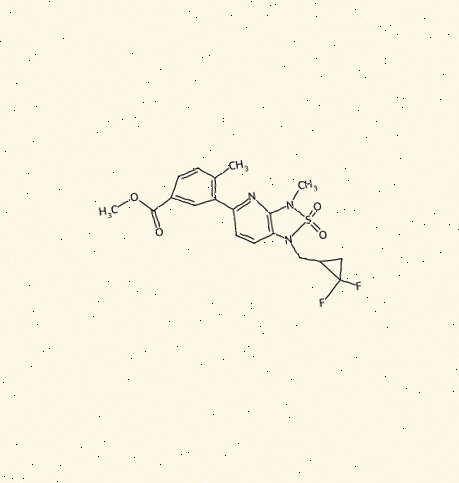 COC(=O)c1ccc(C)c(-c2ccc3c(n2)N(C)S(=O)(=O)N3CC2CC2(F)F)c1